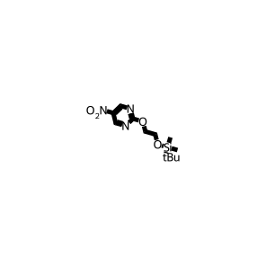 CC(C)(C)[Si](C)(C)OCCOc1ncc([N+](=O)[O-])cn1